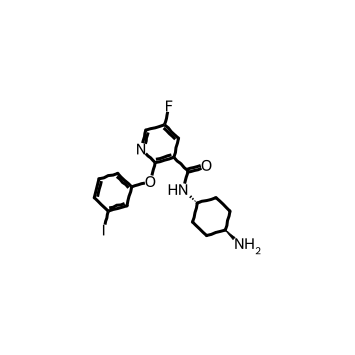 N[C@H]1CC[C@H](NC(=O)c2cc(F)cnc2Oc2cccc(I)c2)CC1